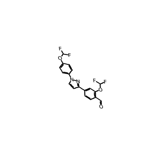 O=Cc1ccc(-c2ccn(-c3ccc(OC(F)F)cc3)n2)cc1OC(F)F